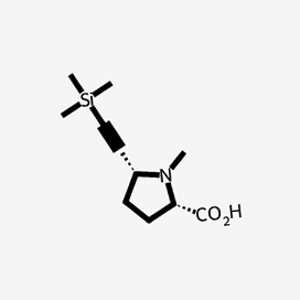 CN1[C@@H](C#C[Si](C)(C)C)CC[C@H]1C(=O)O